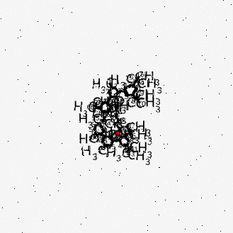 Cc1cc(-c2cc(C(C)(C)C)cc(C(C)(C)C)c2)c(OCCCCCC[C@H](C)Oc2c(-c3cc(C(C)(C)C)cc(C(C)(C)C)c3)cc(C)cc2-c2cc(C(C)(C)C)ccc2O)c(-c2cc(C(C)(C)C)ccc2O)c1